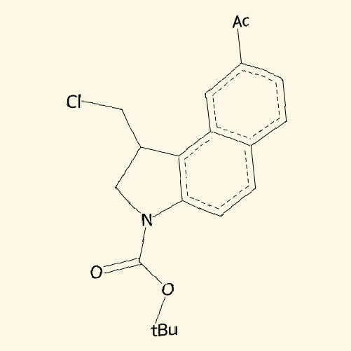 CC(=O)c1ccc2ccc3c(c2c1)C(CCl)CN3C(=O)OC(C)(C)C